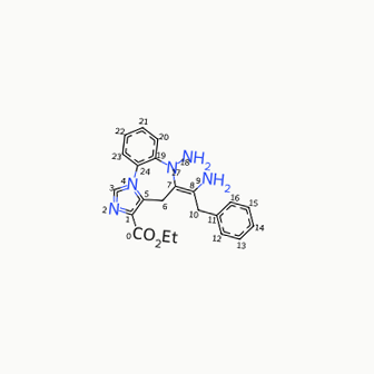 CCOC(=O)c1ncn2c1C/C(=C(/N)Cc1ccccc1)N(N)c1ccccc1-2